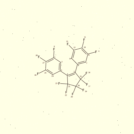 Fc1cc(C2=C(c3cc(F)c(F)c(F)c3)C(F)(F)C(F)(F)C2(F)F)cc(F)c1F